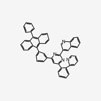 c1ccc(-c2c3ccccc3c(-c3cccc(-c4cc(-c5ccccc5-c5ccccn5)nc(-c5cnc6ccccc6c5)n4)c3)c3ccccc23)cc1